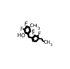 CCCc1ccc(Cc2cc(C)c(F)c(F)c2O)c(F)c1F